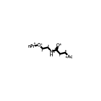 CCCOCCNC(=O)CCC(C)=O